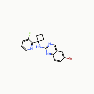 Fc1cccnc1C1(Nc2ncc3cc(Br)ccc3n2)CCC1